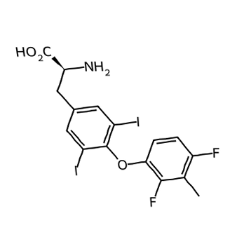 Cc1c(F)ccc(Oc2c(I)cc(C[C@H](N)C(=O)O)cc2I)c1F